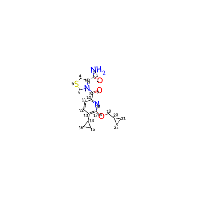 NC(=O)[C@H]1CSCN1C(=O)c1ccc(C2CC2)c(OCC2CC2)n1